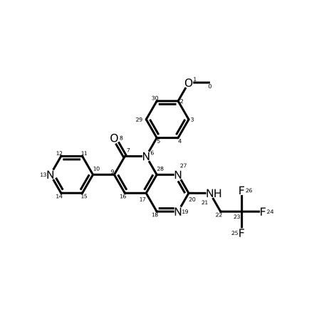 COc1ccc(-n2c(=O)c(-c3ccncc3)cc3cnc(NCC(F)(F)F)nc32)cc1